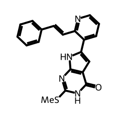 CSc1nc2[nH]c(-c3cccnc3/C=C/c3ccccc3)cc2c(=O)[nH]1